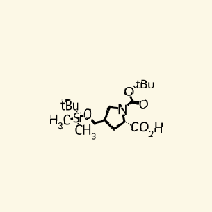 CC(C)(C)OC(=O)N1CC(CO[Si](C)(C)C(C)(C)C)C[C@H]1C(=O)O